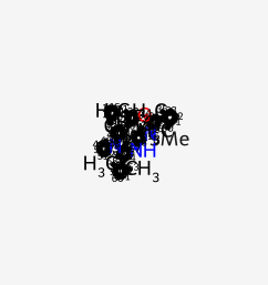 CSN1c2cc3c(cc2B2c4cc(Bc5ccccc5C)c(C)cc4Oc4cc(-c5c(C)cccc5C)cc1c42)B1c2ccccc2N(c2ccccc2)c2cc(-c4c(C)cccc4C)cc(c21)N3